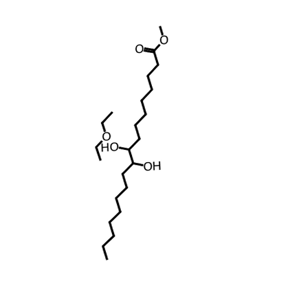 CCCCCCCCC(O)C(O)CCCCCCCC(=O)OC.CCOCC